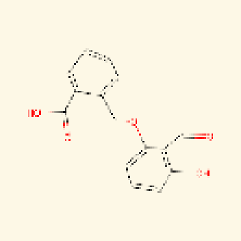 O=Cc1c(O)cccc1OCc1ccccc1C(=O)O